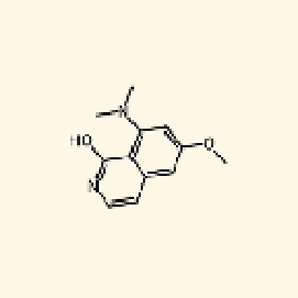 COc1cc(N(C)C)c2c(O)nccc2c1